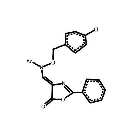 CC(=O)N(C=C1N=C(c2ccccc2)OC1=O)OCc1ccc(Cl)cc1